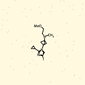 COCCN(C)C12CC(n3cc(I)nc3C3CC3)(C1)C2